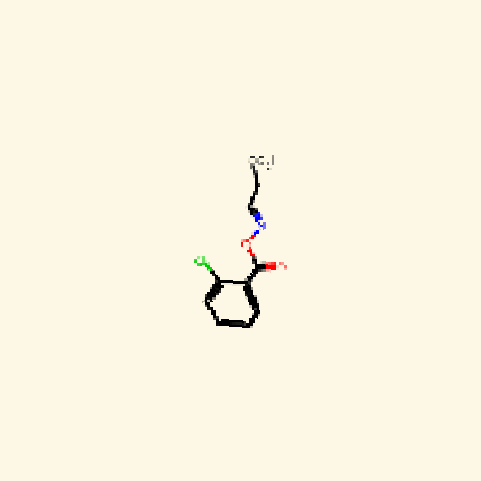 O=C(O)CC=NOC(=O)c1ccccc1Cl